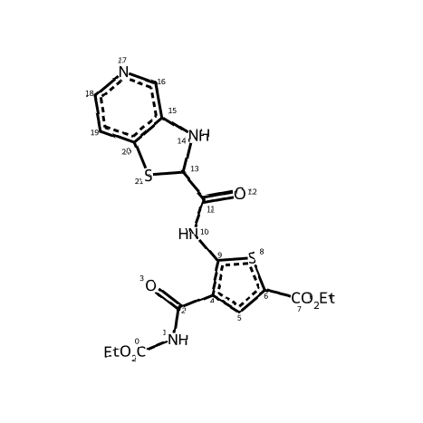 CCOC(=O)NC(=O)c1cc(C(=O)OCC)sc1NC(=O)C1Nc2cnccc2S1